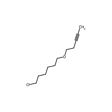 CC#CCCOCCCCCCCl